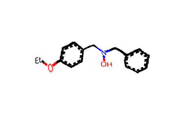 CCOc1ccc(CN(O)Cc2ccccc2)cc1